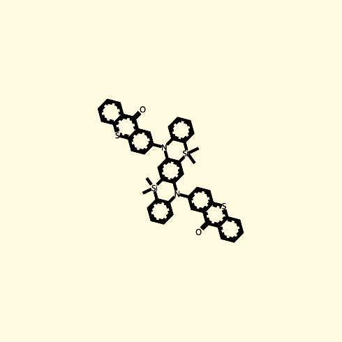 C[Si]1(C)c2ccccc2N(c2ccc3sc4ccccc4c(=O)c3c2)c2cc3c(cc21)N(c1ccc2sc4ccccc4c(=O)c2c1)c1ccccc1[Si]3(C)C